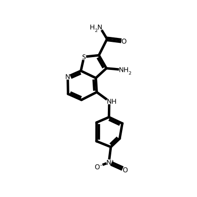 NC(=O)c1sc2nccc(Nc3ccc([N+](=O)[O-])cc3)c2c1N